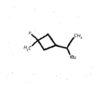 CC(C1CC(C)(F)C1)C(C)(C)C